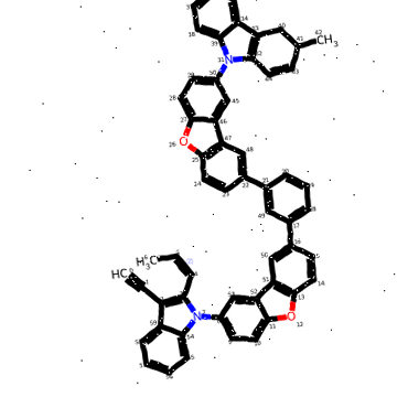 C#Cc1c(/C=C\C)n(-c2ccc3oc4ccc(-c5cccc(-c6ccc7oc8ccc(-n9c%10c(c%11ccccc%119)CC(C)C=C%10)cc8c7c6)c5)cc4c3c2)c2ccccc12